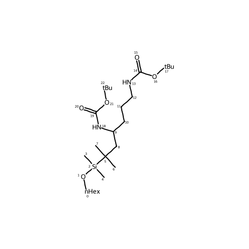 CCCCCCO[Si](C)(C)C(C)(C)CC(CCCNC(=O)OC(C)(C)C)NC(=O)OC(C)(C)C